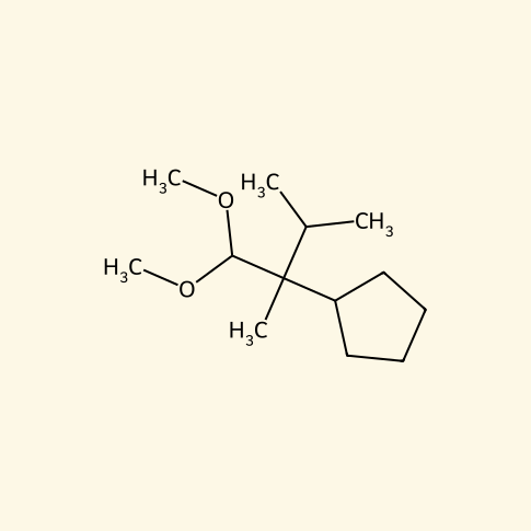 COC(OC)C(C)(C(C)C)C1CCCC1